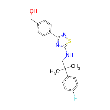 CC(C)(CNc1nc(-c2ccc(CO)cc2)ns1)c1ccc(F)cc1